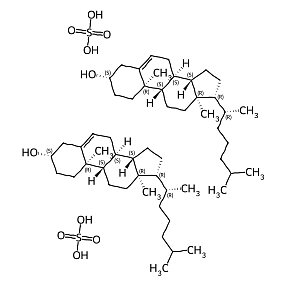 CC(C)CCC[C@@H](C)[C@H]1CC[C@H]2[C@@H]3CC=C4C[C@@H](O)CC[C@]4(C)[C@H]3CC[C@]12C.CC(C)CCC[C@@H](C)[C@H]1CC[C@H]2[C@@H]3CC=C4C[C@@H](O)CC[C@]4(C)[C@H]3CC[C@]12C.O=S(=O)(O)O.O=S(=O)(O)O